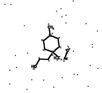 CC(=O)[O-].CN1CC[N+](C)(CCO)CC1